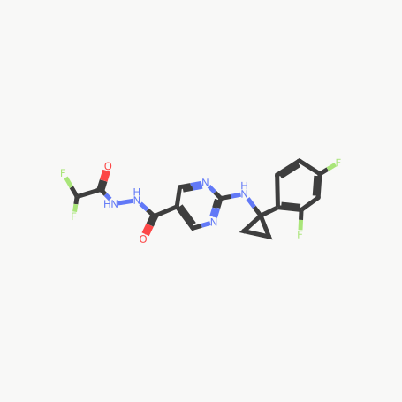 O=C(NNC(=O)C(F)F)c1cnc(NC2(c3ccc(F)cc3F)CC2)nc1